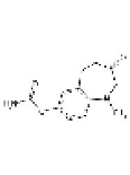 CN1CC(=O)CCc2cc(OC(N)=O)ccc21